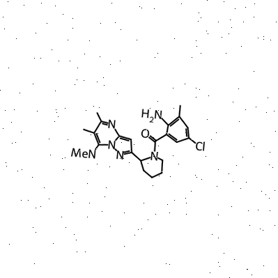 CNc1c(C)c(C)nc2cc(C3CCCCN3C(=O)c3cc(Cl)cc(C)c3N)nn12